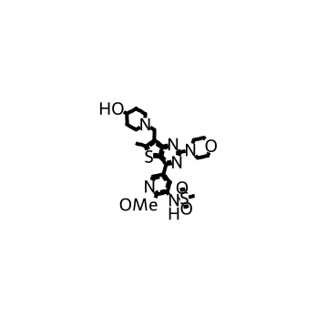 COc1ncc(-c2nc(N3CCOCC3)nc3c(CN4CCC(O)CC4)c(C)sc23)cc1NS(C)(=O)=O